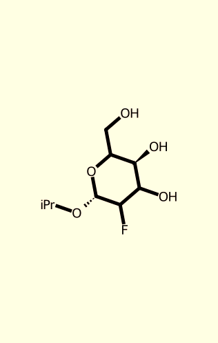 CC(C)O[C@@H]1OC(CO)[C@@H](O)C(O)C1F